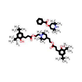 CC(C)(C)c1cc(CCC(=O)OCCC2CC(C)(C)N(CCOC(=O)CCc3cc(C(C)(C)C)cc(C(C)(C)C)c3O)C(C)(C)C2)c(O)c(C(C)(C)C)c1.CC1(C)CC(OC(=O)c2ccccc2)CC(C)(C)N1